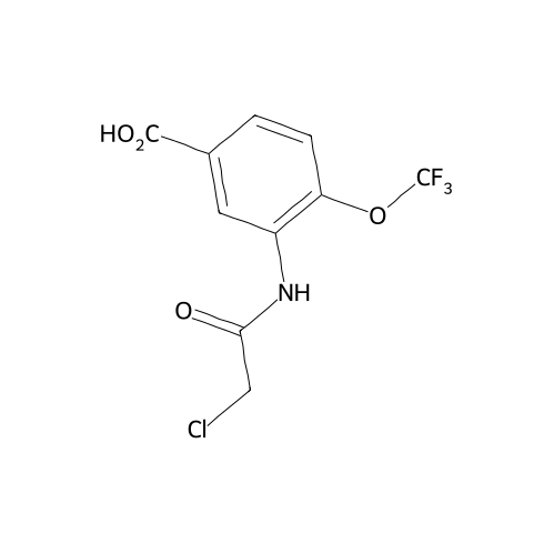 O=C(CCl)Nc1cc(C(=O)O)ccc1OC(F)(F)F